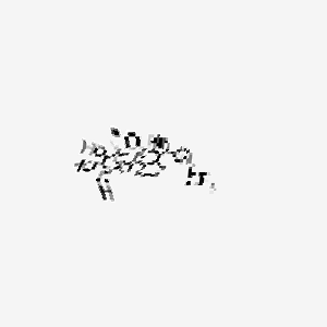 Cn1nc(C2CCN(CCC(F)(F)F)C2)c2c3c(c(OC4OC(C(=O)O)C(O)C(O)C4O)nc21)CCCC3